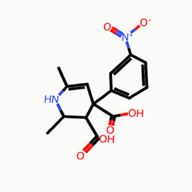 CC1=CC(C(=O)O)(c2cccc([N+](=O)[O-])c2)C(C(=O)O)C(C)N1